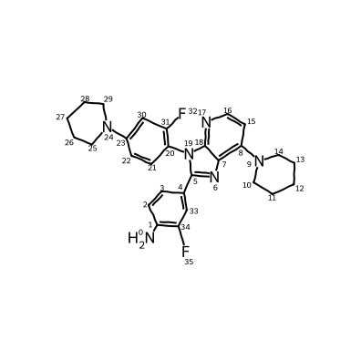 Nc1ccc(-c2nc3c(N4CCCCC4)ccnc3n2-c2ccc(N3CCCCC3)cc2F)cc1F